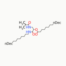 C=C(C)C(=O)NCC(OC(=O)CCCCCCCCCCCCCCCCC)C(=O)NCCCCCCCCCCCCCCCCCC